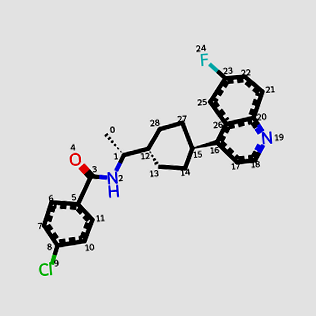 C[C@@H](NC(=O)c1ccc(Cl)cc1)[C@H]1CC[C@H](c2ccnc3ccc(F)cc32)CC1